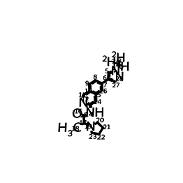 [2H]C([2H])([2H])n1cc(-c2ccc3cnc(NC(=O)C(C)N4CCCC4)cc3c2)cn1